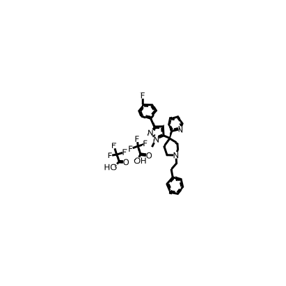 Cn1nc(-c2ccc(F)cc2)cc1C1(c2ccccn2)CCN(CCc2ccccc2)CC1.O=C(O)C(F)(F)F.O=C(O)C(F)(F)F